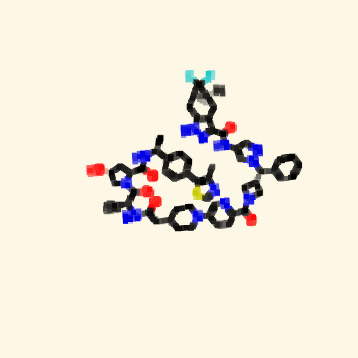 Cc1ncsc1-c1ccc([C@H](C)NC(=O)[C@@H]2C[C@@H](O)CN2C(=O)[C@@H](NC(=O)CC2CCN(c3ccc(C(=O)N4CC([C@@H](c5ccccc5)n5cc(NC(=O)c6n[nH]c7c6C[C@@H]6C(F)(F)[C@]6(C)C7)cn5)C4)nc3)CC2)C(C)(C)C)cc1